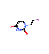 O=c1ccn(/C=C/I)c(=O)[nH]1